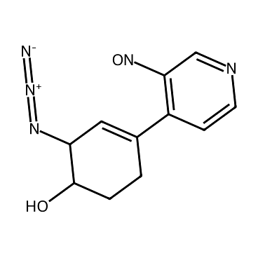 [N-]=[N+]=NC1C=C(c2ccncc2N=O)CCC1O